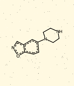 c1cc2oncc2cc1N1CCNCC1